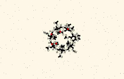 CC(=O)OCC1C[C@@H]2O[C@@H]3C(COC(C)=O)O[C@H](O[C@@H]4C(CN=[N+]=[N-])O[C@H](O[C@@H]5C(COC(C)=O)O[C@@H](O[C@@H]6C(COC(C)=O)O[C@@H](O[C@@H]7C(CN=[N+]=[N-])O[C@@H](O[C@@H]8C(COC(C)=O)O[C@H](O[C@H]1[C@H](OC(C)=O)C2OC(C)=O)C(OC(C)=O)[C@H]8OC(C)=O)C(OC(C)=O)[C@H]7OC(C)=O)C(OC(C)=O)[C@@H]6OC(C)=O)C(OC(C)=O)[C@@H]5OC(C)=O)C(OC(C)=O)[C@H]4OC(C)=O)C(OC(C)=O)[C@H]3OC(C)=O